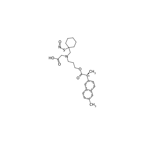 Cc1ccc2cc([C@H](C)C(=O)OCCCN(CC(=O)O)CC3(SN=O)CCCCC3)ccc2c1